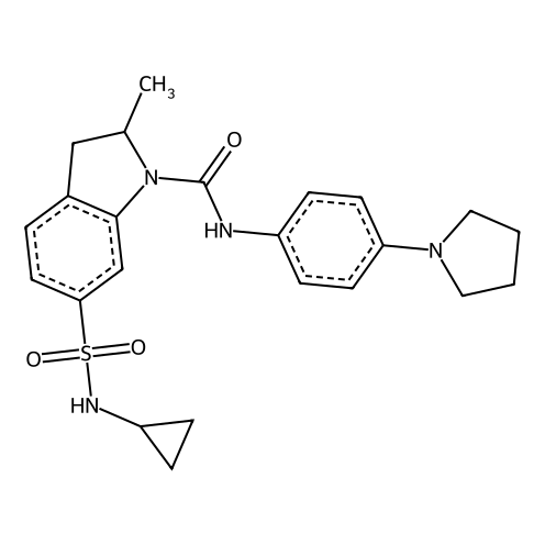 CC1Cc2ccc(S(=O)(=O)NC3CC3)cc2N1C(=O)Nc1ccc(N2CCCC2)cc1